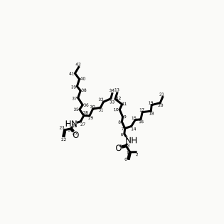 C=C(C)C(=O)NCC(CCCCCC)CCCCCCCC.C=CC(=O)NCC(CCCCCC)CCCCCCCC